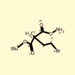 CC(C)(C)OC(=O)C(C)(CCBr)C(=O)ON